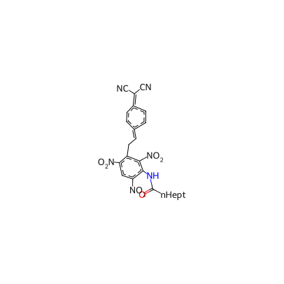 CCCCCCCC(=O)Nc1c([N+](=O)[O-])cc([N+](=O)[O-])c(CC=c2ccc(=C(C#N)C#N)cc2)c1[N+](=O)[O-]